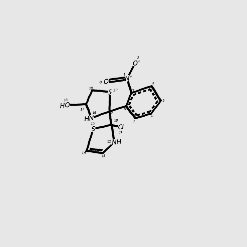 O=[N+]([O-])c1ccccc1C1(C2(Cl)NC=CS2)NC(O)CS1